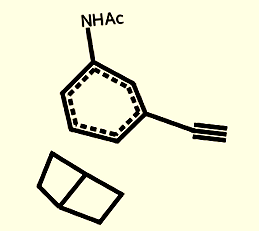 C#Cc1cccc(NC(C)=O)c1.C1CC2CCC12